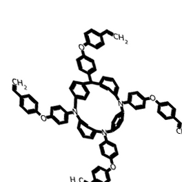 C=Cc1ccc(Oc2ccc(C3c4ccc(cc4)N(c4ccc(Oc5ccc(C=C)cc5)cc4)c4cccc(c4)N(c4ccc(Oc5ccc(C=C)cc5)cc4)c4ccc(cc4)N(c4ccc(Oc5ccc(C=C)cc5)cc4)c4cccc3c4)cc2)cc1